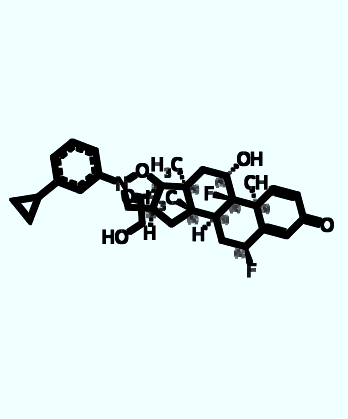 C[C@]12C[C@H](O)[C@@]3(F)[C@@H](C[C@H](F)C4=CC(=O)C=C[C@@]43C)[C@]1(C)C[C@H]1CN(c3cccc(C4CC4)c3)O[C@]12C(=O)CO